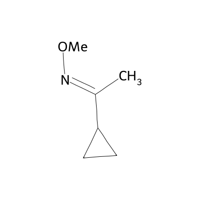 CON=C(C)C1CC1